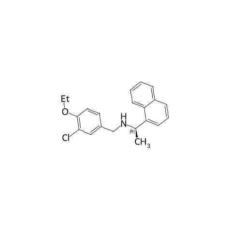 CCOc1ccc(CN[C@H](C)c2cccc3ccccc23)cc1Cl